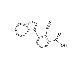 N#Cc1c(C(=O)O)cccc1-n1ccc2ccccc21